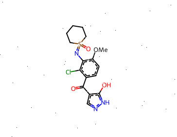 COc1ccc(C(=O)c2cn[nH]c2O)c(Cl)c1N=S1(=O)CCCCC1